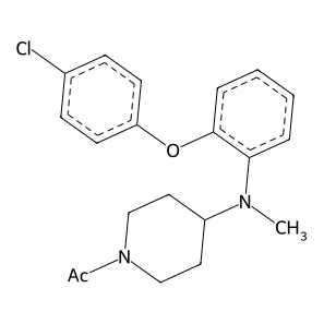 CC(=O)N1CCC(N(C)c2ccccc2Oc2ccc(Cl)cc2)CC1